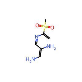 C=C(/N=C\C(N)=C/N)S(C)(=O)=O